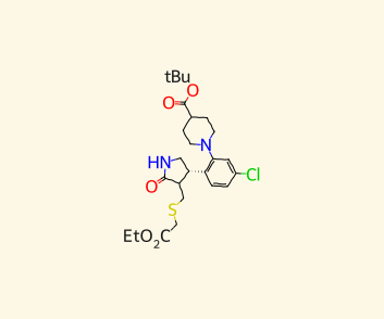 CCOC(=O)CSCC1C(=O)NC[C@@H]1c1ccc(Cl)cc1N1CCC(C(=O)OC(C)(C)C)CC1